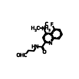 CN(C)c1cc(C(=O)NCCC=O)nc2cccc(F)c12